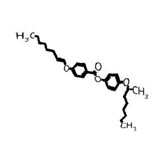 CCCCCC/C=C/Oc1ccc(C(=O)Oc2ccc(O[C@@H](C)CCCCCC)cc2)cc1